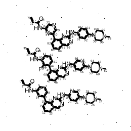 C=CC(=O)Nc1cccc(-c2cccc3cnc(Nc4ccc(N5CCN(C)CC5)cn4)nc23)c1.C=CC(=O)Nc1cccc(-c2cccc3cnc(Nc4ccc(N5CCN(C)CC5)nc4)nc23)c1F.C=CC(=O)Nc1cncc(-c2cccc3cnc(Nc4ccc(N5CCN(C)CC5)cc4)nc23)n1